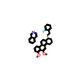 COc1cccc2c1c(OC)cc1c3c(ccc12)[C@H](CCc1ccccc1F)CCC3.c1ccc2cnccc2c1